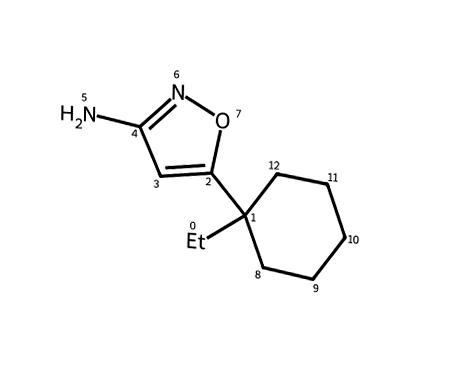 CCC1(c2cc(N)no2)CCCCC1